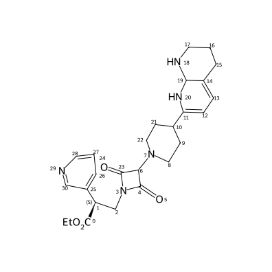 CCOC(=O)[C@H](CN1C(=O)C(N2CCC(C3=CC=C4CCCNC4N3)CC2)C1=O)c1cccnc1